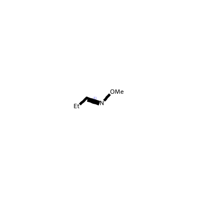 [CH2]C/C=N/OC